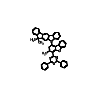 Cc1cc(-n2c3ccccc3c3cc4c(cc32)C(C)(C)c2ccccc2-4)c2c(oc3ccccc32)c1-c1nc(-c2ccccc2)nc(-c2ccccc2)n1